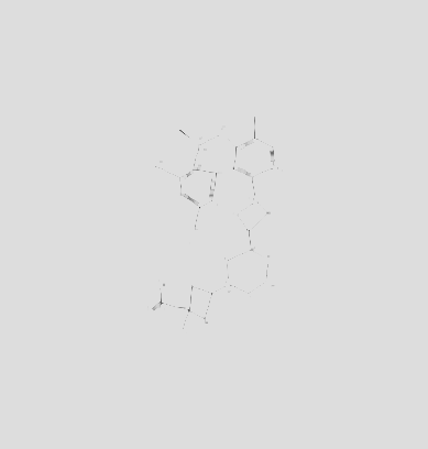 Cc1cnc(N2CC(C3CN(C4CC(C)(C(=O)O)C4)CCO3)C2)cc1O[C@H](C)c1ccc(Cl)cc1Cl